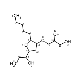 CCCCCC1OC(C(O)CC)CC1OCC(O)CO